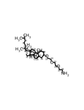 CC(C)CCC[C@@H](C)[C@H]1CC[C@H]2[C@@H]3CC=C4C[C@@H](OCCOCCOCCN)CC[C@]4(C)[C@H]3CC[C@]12C